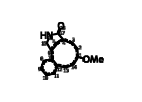 COc1ccc2cc(c3ccccc3cc1)CNC2=O